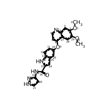 COc1cc2nccc(Oc3ccc4[nH]c(C(=O)Nc5cc[nH]n5)cc4c3)c2cc1OC